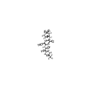 CC(C)(C)N1C=CC(NC(=O)Cc2cc(Cl)c(CN3CCC(F)(F)C3)cc2O)=CC1